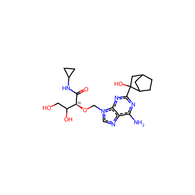 Nc1nc(C2(O)CC3CCC2C3)nc2c1ncn2CO[C@H](C(=O)NC1CC1)C(O)CO